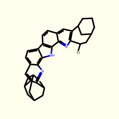 CCC1CC2CCCC(C2)c2cc3ccc4c5ccc6cc7c(nc6c5[nH]c4c3nc21)C1CC2CC(CC7C2)C1